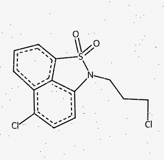 O=S1(=O)c2cccc3c(Cl)ccc(c23)N1CCCCl